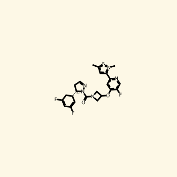 Cc1cc(-c2cc(OC3CN(C(=O)N4N=CC[C@H]4C4C=C(F)C=C(F)C4)C3)c(F)cn2)n(C)n1